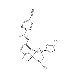 C[C@@H]1CN=C([C@]23C[C@H]2[C@@](C)(c2cc(/C=C(\F)c4ccc(C#N)cn4)ccc2F)N=C(N)S3)O1